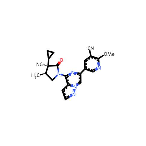 COc1ncc(-c2cn3nccc3c(N3C[C@@H](C)[C@@](C#N)(C4CC4)C3=O)n2)cc1C#N